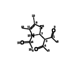 CC(=O)C(C(C)=O)C1SC(C)=C(C)N1C(C)=O